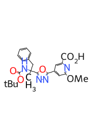 COc1cc(-c2nnc(C(C)(Cc3ccccc3)NC(=O)OC(C)(C)C)o2)cc(C(=O)O)n1